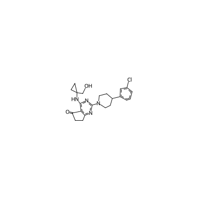 O=C1CCc2nc(N3CCC(c4cccc(Cl)c4)CC3)nc(NC3(CO)CC3)c21